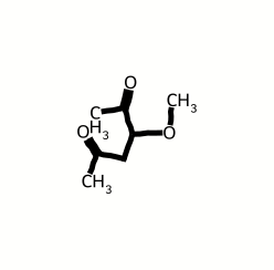 COC(CC(C)=O)C(C)=O